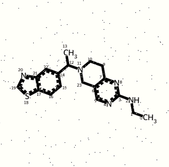 CCNc1ncc2c(n1)CCN(C(C)c1ccc3scnc3c1)C2